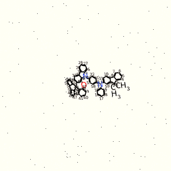 CC1(C)c2ccccc2-c2ccc(N(c3ccccc3)c3ccc(-n4c5ccccc5c5ccc6c(c54)Oc4ccccc4C64c5ccccc5-c5ccccc54)cc3)cc21